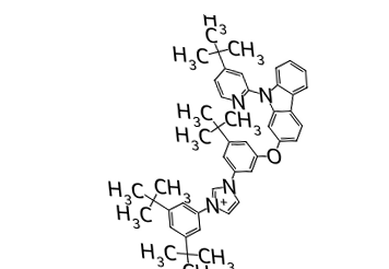 CC(C)(C)c1cc(Oc2ccc3c4ccccc4n(-c4cc(C(C)(C)C)ccn4)c3c2)cc(-n2cc[n+](-c3cc(C(C)(C)C)cc(C(C)(C)C)c3)c2)c1